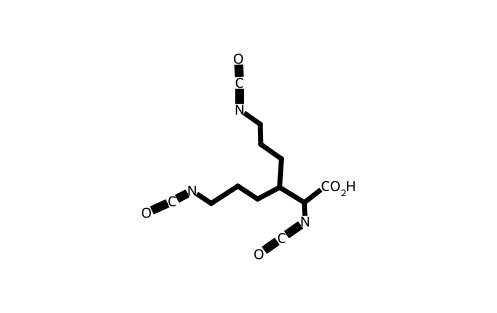 O=C=NCCCC(CCCN=C=O)C(N=C=O)C(=O)O